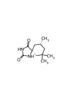 C[C@@H]1CC(C)(C)C[C@]2(C1)NC(=O)NC2=O